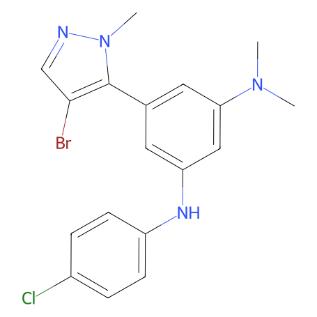 CN(C)c1cc(Nc2ccc(Cl)cc2)cc(-c2c(Br)cnn2C)c1